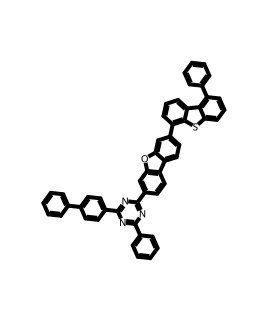 c1ccc(-c2ccc(-c3nc(-c4ccccc4)nc(-c4ccc5c(c4)oc4cc(-c6cccc7c6sc6cccc(-c8ccccc8)c67)ccc45)n3)cc2)cc1